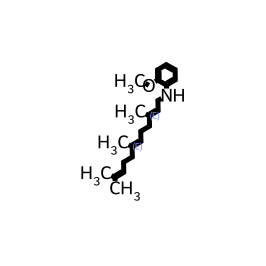 COc1ccccc1NC/C=C(\C)CC/C=C(\C)CCC=C(C)C